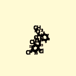 CCOC(=O)C1CCCCN1C(=O)Cc1c(Cl)cc(Cl)cc1Cl